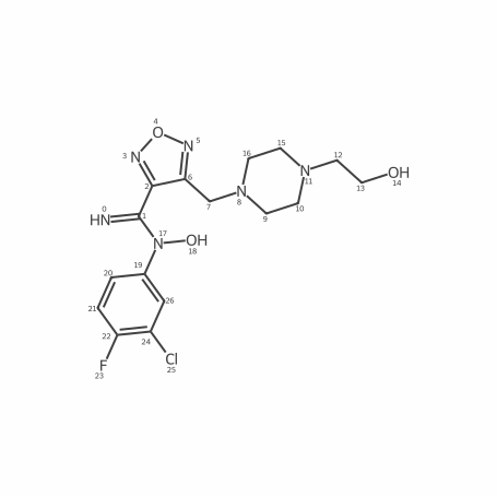 N=C(c1nonc1CN1CCN(CCO)CC1)N(O)c1ccc(F)c(Cl)c1